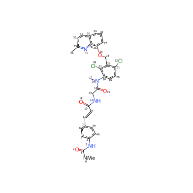 CNC(=O)Nc1ccc(/C=C/C(=O)NCC(=O)N(C)c2ccc(Cl)c(COc3cccc4ccc(C)nc34)c2Cl)cc1